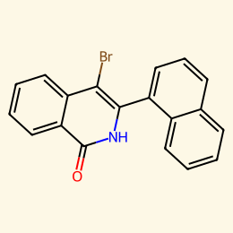 O=c1[nH]c(-c2cccc3ccccc23)c(Br)c2ccccc12